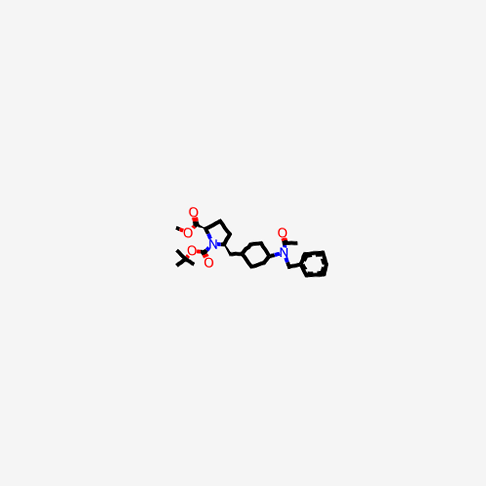 COC(=O)[C@H]1CC[C@@H](CC2CCC(N(Cc3ccccc3)C(C)=O)CC2)N1C(=O)OC(C)(C)C